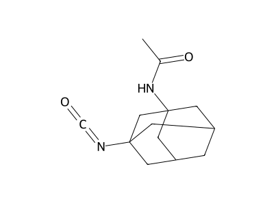 CC(=O)NC12CC3CC(CC(N=C=O)(C3)C1)C2